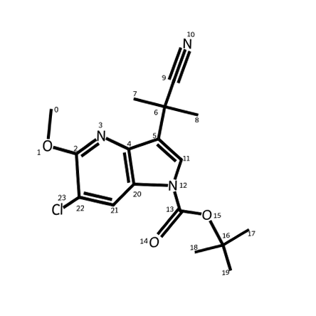 COc1nc2c(C(C)(C)C#N)cn(C(=O)OC(C)(C)C)c2cc1Cl